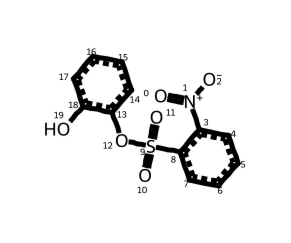 O=[N+]([O-])c1ccccc1S(=O)(=O)Oc1ccccc1O